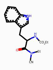 CCOC(=O)NC(Cc1c[nH]c2ccccc12)C(=O)N(C#N)CC